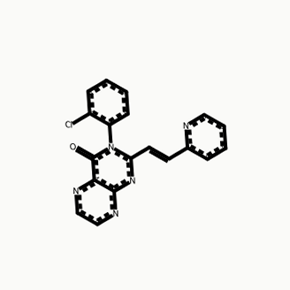 O=c1c2nccnc2nc(C=Cc2ccccn2)n1-c1ccccc1Cl